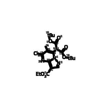 CCOC(=O)c1cnn2c(N(C(=O)OC(C)(C)C)C(=O)OC(C)(C)C)c(C)c(Cl)nc12